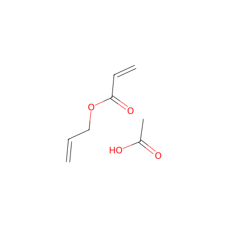 C=CCOC(=O)C=C.CC(=O)O